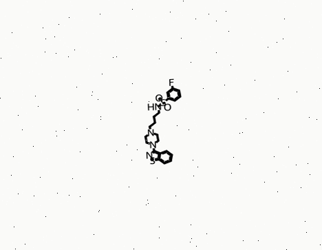 O=S(=O)(NCCCCN1CCN(c2nsc3ccccc23)CC1)c1cccc(F)c1